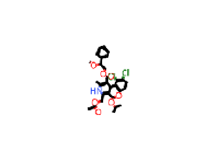 COC(COC(=O)C1=C(C)NC(COC(C)=O)=C(C(=O)OC(C)C)C1c1cccc(Cl)c1Cl)c1ccccc1